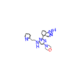 c1ccc(CCNc2cc(N3CCOCC3)nc(-c3cccc4[nH]ncc34)n2)nc1